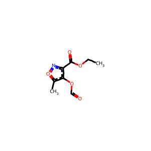 CCOC(=O)c1noc(C)c1OC=O